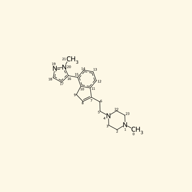 CN1CCN(CCC2=CCc3c2cccc3-c2ccnn2C)CC1